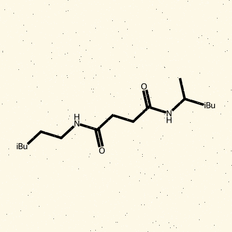 CCC(C)CCNC(=O)CCC(=O)NC(C)C(C)CC